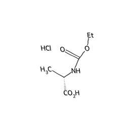 CCOC(=O)N[C@@H](C)C(=O)O.Cl